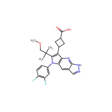 COCC(C)(C)c1c(C2CC(C(=O)O)C2)c2nc3[nH]ncc3cc2n1-c1ccc(F)c(F)c1